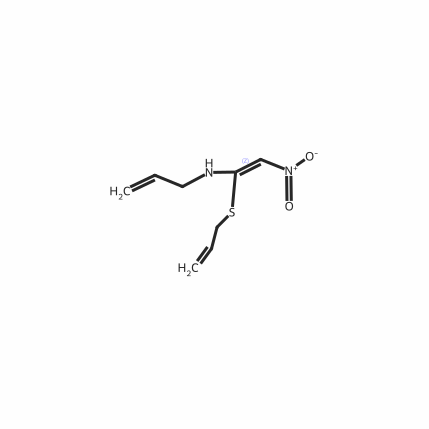 C=CCN/C(=C/[N+](=O)[O-])SCC=C